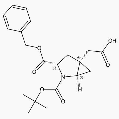 CC(C)(C)OC(=O)N1[C@H](C(=O)OCc2ccccc2)C[C@@]2(CC(=O)O)C[C@@H]12